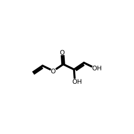 C=COC(=O)C(O)=CO